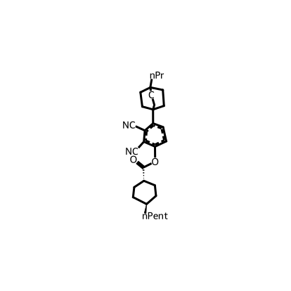 CCCCC[C@H]1CC[C@H](C(=O)Oc2ccc(C34CCC(CCC)(CC3)CC4)c(C#N)c2C#N)CC1